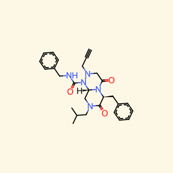 C#CCN1CC(=O)N2[C@@H](Cc3ccccc3)C(=O)N(CC(C)C)C[C@@H]2N1C(=O)NCc1ccccc1